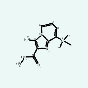 CCCNC(=O)c1nc2[c]([Sn]([CH3])([CH3])[CH3])cccn2c1N